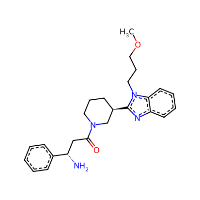 COCCCn1c([C@@H]2CCCN(C(=O)C[C@H](N)c3ccccc3)C2)nc2ccccc21